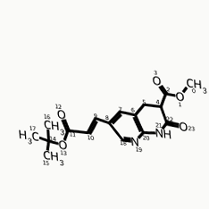 COC(=O)C1Cc2cc(/C=C/C(=O)OC(C)(C)C)cnc2NC1=O